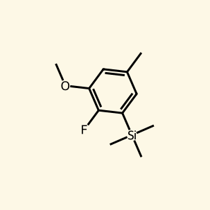 COc1cc(C)cc([Si](C)(C)C)c1F